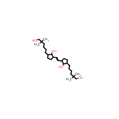 CC(C)(CO)CCCCC1CCC(C=CC2CCC(CCCCC(C)(C)CO)C2O)C1O